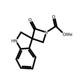 COC(=O)N1CC2(CNc3ccccc32)C1=O